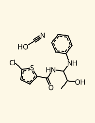 CC(O)C(NC(=O)c1ccc(Cl)s1)Nc1ccccc1.N#CO